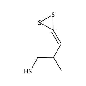 CC(C=C1SS1)CS